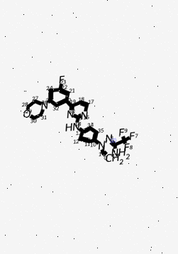 C=CN(/N=C(\N)C(F)(F)F)c1ccc(Nc2nccc(-c3cc(F)cc(N4CCOCC4)c3)n2)cc1